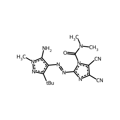 CN(C)C(=O)n1c(N=Nc2c(C(C)(C)C)nn(C)c2N)nc(C#N)c1C#N